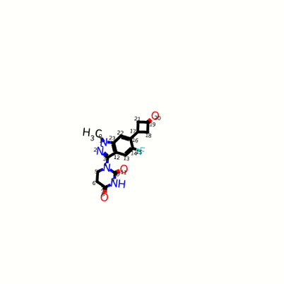 Cn1nc(N2CCC(=O)NC2=O)c2cc(F)c(C3CC(=O)C3)cc21